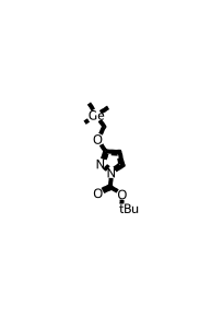 CC(C)(C)OC(=O)n1ccc(O[CH2][Ge]([CH3])([CH3])[CH3])n1